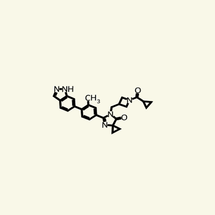 Cc1cc(C2=NC3(CC3)C(=O)N2CC2CN(C(=O)C3CC3)C2)ccc1-c1ccc2cn[nH]c2c1